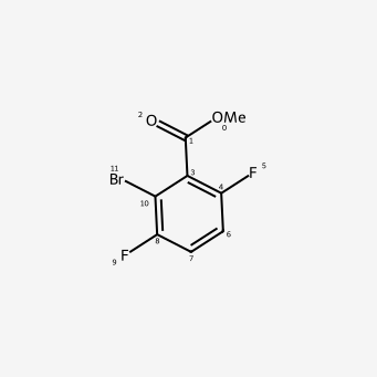 COC(=O)c1c(F)ccc(F)c1Br